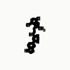 Cc1cc2c(Cl)ccc(Cl)c2n1CCNc1cc(-c2ccc3[nH]ccc3c2)ncn1